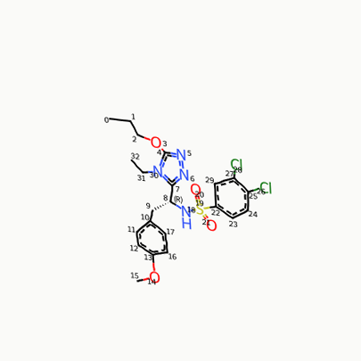 CCCOc1nnc([C@@H](Cc2ccc(OC)cc2)NS(=O)(=O)c2ccc(Cl)c(Cl)c2)n1CC